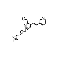 C[Si](C)(C)CCOCn1cc(C=Cc2cccnc2)c(C=O)n1